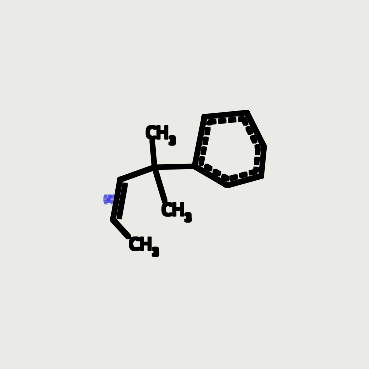 C/C=C\C(C)(C)c1ccccc1